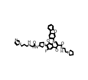 O=C(CNCCCn1ccnc1)N[C@@H]1CCN(c2c(F)cc3c(=O)c(C(=O)NCCN4CCCC4)cn4c3c2Oc2cc3c(cc2-4)oc2ccccc23)C1